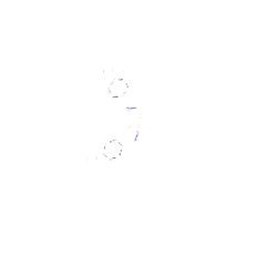 O=C(/C=C/c1ccc2c(c1)OCO2)C1(C(=O)/C=C/c2ccc3c(c2)OCO3)CCCCC1